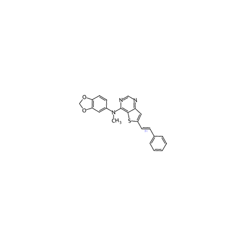 CN(c1ccc2c(c1)OCO2)c1ncnc2cc(/C=C/c3ccccc3)sc12